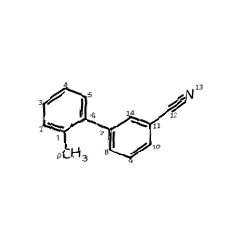 Cc1ccccc1-c1cccc(C#N)c1